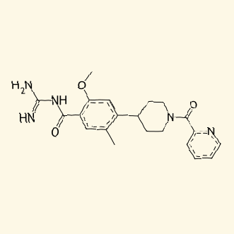 COc1cc(C2CCN(C(=O)c3ccccn3)CC2)c(C)cc1C(=O)NC(=N)N